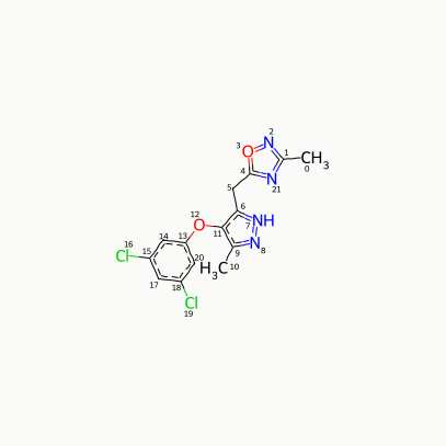 Cc1noc(Cc2[nH]nc(C)c2Oc2cc(Cl)cc(Cl)c2)n1